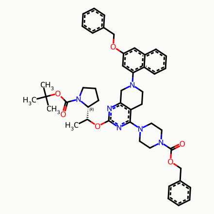 CC(Oc1nc2c(c(N3CCN(C(=O)OCc4ccccc4)CC3)n1)CCN(c1cc(OCc3ccccc3)cc3ccccc13)C2)[C@H]1CCCN1C(=O)OC(C)(C)C